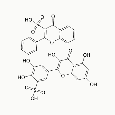 O=c1c(O)c(-c2cc(O)c(O)c(S(=O)(=O)O)c2)oc2cc(O)cc(O)c12.O=c1c(S(=O)(=O)O)c(-c2ccccc2)oc2ccccc12